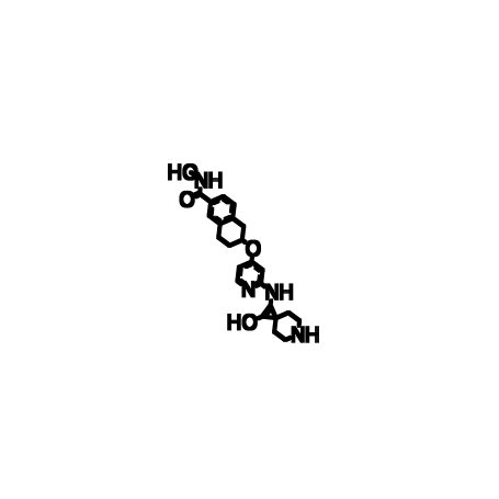 O=C(NO)c1ccc2c(c1)CCC(Oc1ccnc(NC3=C(O)C34CCNCC4)c1)C2